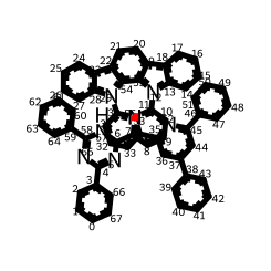 c1ccc(C2=NC(c3cccc(-n4c5ccccc5c5ccc6c7ccccc7n(-c7cccc(-c8cc(-c9ccccc9)cc(-c9ccccc9)n8)n7)c6c54)n3)NC(c3ccccc3)=N2)cc1